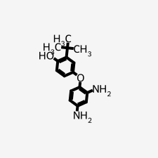 CC(C)(C)c1cc(Oc2ccc(N)cc2N)ccc1O